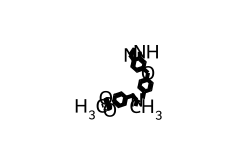 CN(Cc1ccc(Oc2ccc3nc[nH]c3c2)cc1)Cc1ccc(S(C)(=O)=O)cc1